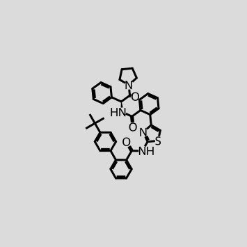 CC(C)(C)c1ccc(-c2ccccc2C(=O)Nc2nc(-c3ccccc3C(=O)N[C@H](C(=O)N3CCCC3)c3ccccc3)cs2)cc1